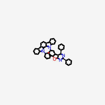 c1ccc(-c2nc(-c3ccccc3)c3c(n2)oc2ccc(-n4c5ccccc5c5ccc6c7ccccc7n(-c7ccccc7)c6c54)cc23)cc1